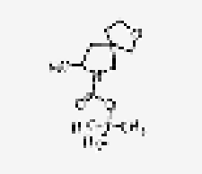 CC(C)(C)OC(=O)N1CC2(CCOC2)CC1O